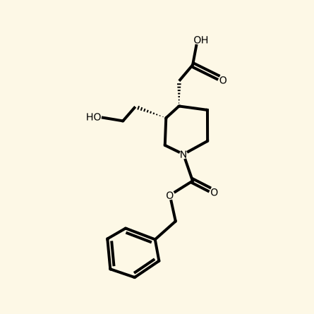 O=C(O)C[C@@H]1CCN(C(=O)OCc2ccccc2)C[C@@H]1CCO